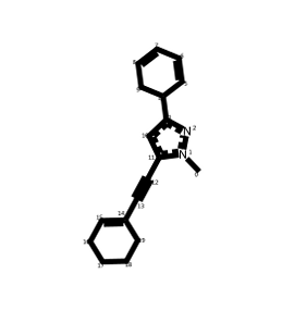 Cn1nc(C2C=CC=CC2)cc1C#CC1=CCCCC1